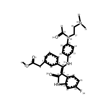 COC(=O)Cc1cccc(C(Nc2ccc(N(CCN(C)C)C(C)=O)cc2)=C2C(=O)Nc3cc(F)ccc32)c1